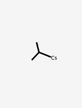 C[CH](C)[Cs]